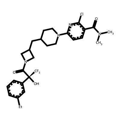 CCc1cccc([C@@](O)(C(=O)N2CC(CC3CCN(c4ccc(C(=O)N(C)C)c(Cl)n4)CC3)C2)C(F)(F)F)c1